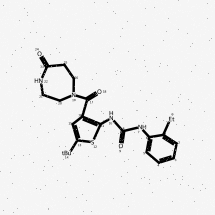 CCc1ccccc1NC(=O)Nc1sc(C(C)(C)C)cc1C(=O)N1CCNC(=O)CC1